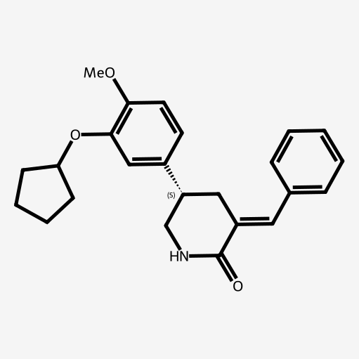 COc1ccc([C@H]2CNC(=O)C(=Cc3ccccc3)C2)cc1OC1CCCC1